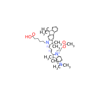 CC(=O)OCCC[N+]1=C(/C=C/C=C2/N(CCCCCC(=O)O)c3cc4c(cc3C2(C)C)-c2ccccc2C4(C)C)C(C)(C)c2cc(N(C)C)ccc21